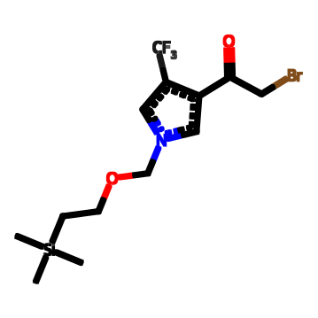 C[Si](C)(C)CCOCn1cc(C(=O)CBr)c(C(F)(F)F)c1